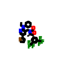 CCN(c1ncc(-c2cccs2)cc1CN1C(=O)O[C@H](c2cc(C(F)(F)F)cc(C(F)(F)F)c2)[C@@H]1C)C1CCCCC1